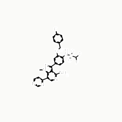 C[C@H](Oc1cc(-c2nn(C)c3c(-c4ccncn4)cnc(N)c23)ccc1NS(=O)(=O)C(F)F)c1ccc(F)cc1